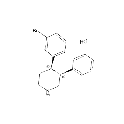 Brc1cccc([C@@H]2CCNC[C@@H]2c2ccccc2)c1.Cl